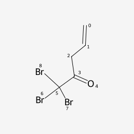 C=CCC(=O)C(Br)(Br)Br